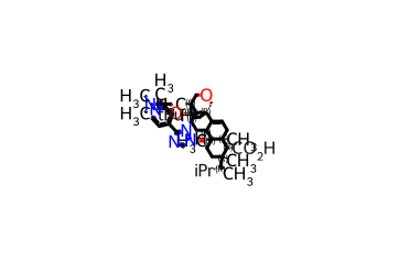 CC(C)[C@@H](C)[C@@]1(C)CC[C@]2(C)[C@H]3CC[C@@H]4[C@@]5(COC[C@@]4(C)[C@@H](OC[C@](C)(N(C)C)C(C)(C)C)[C@H](n4ncnc4-c4ccncc4)C5)C3=CC[C@@]2(C)[C@@H]1C(=O)O